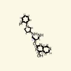 N=C/C(=C\N[C@H]1CCN(c2ccccc2F)C1)Oc1nc(O)c2ccncc2n1